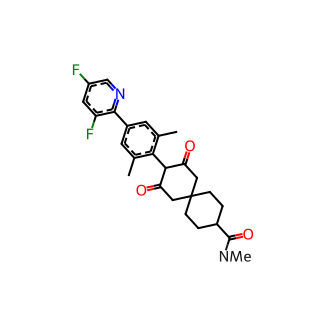 CNC(=O)C1CCC2(CC1)CC(=O)C(c1c(C)cc(-c3ncc(F)cc3F)cc1C)C(=O)C2